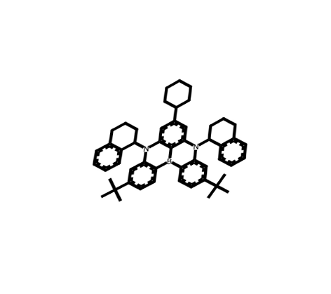 CC(C)(C)c1ccc2c(c1)N(C1CCCc3ccccc31)c1cc(C3CCCCC3)cc3c1B2c1ccc(C(C)(C)C)cc1N3C1CCCc2ccccc21